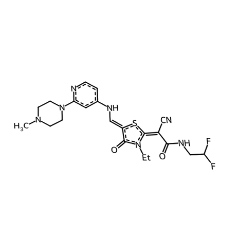 CCn1c(=C(C#N)C(=O)NCC(F)F)sc(=CNc2ccnc(N3CCN(C)CC3)c2)c1=O